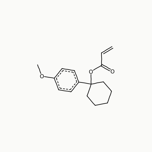 C=CC(=O)OC1(c2ccc(OC)cc2)CCCCC1